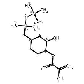 C=C(C)C(=O)OC1CCC(C[Si](C)(C)O[Si](C)(C)C)CC1O